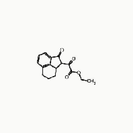 CCOC(=O)C(=O)C1C(=O)c2cccc3c2C1CCC3